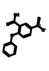 O=C(O)c1cc([N+](=O)[O-])ccc1Oc1cc[c]cc1